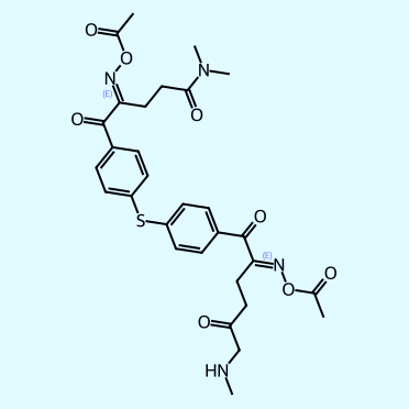 CNCC(=O)CC/C(=N\OC(C)=O)C(=O)c1ccc(Sc2ccc(C(=O)/C(CCC(=O)N(C)C)=N/OC(C)=O)cc2)cc1